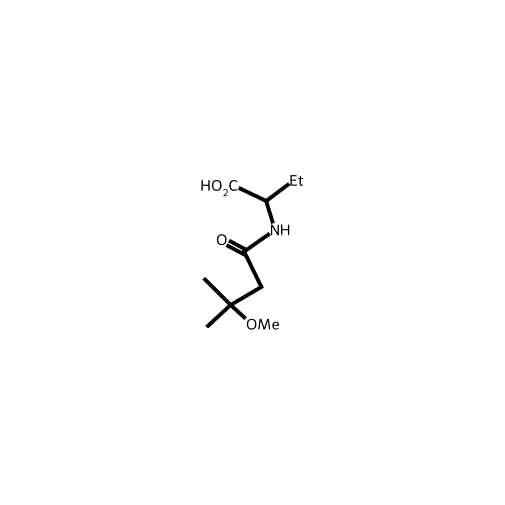 CCC(NC(=O)CC(C)(C)OC)C(=O)O